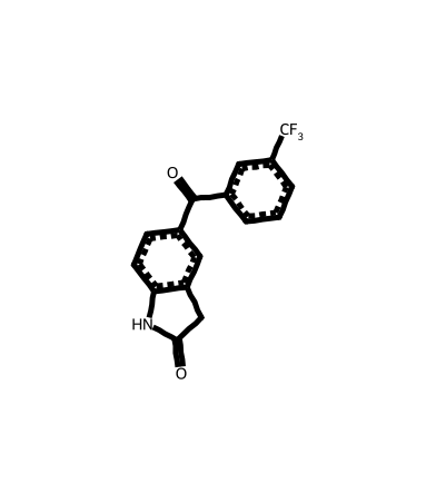 O=C1Cc2cc(C(=O)c3cccc(C(F)(F)F)c3)ccc2N1